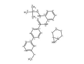 C1CN2NC2CO1.CCc1nccc(-c2ccc(C(=O)Nc3ccccc3NOC(C)(C)C)cc2)n1